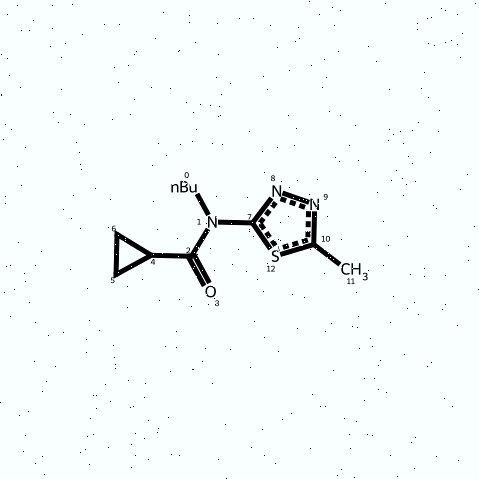 CCCCN(C(=O)C1CC1)c1nnc(C)s1